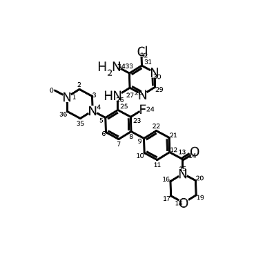 CN1CCN(c2ccc(-c3ccc(C(=O)N4CCOCC4)cc3)c(F)c2Nc2ncnc(Cl)c2N)CC1